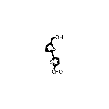 O=Cc1ccc(-c2ccc(CO)s2)s1